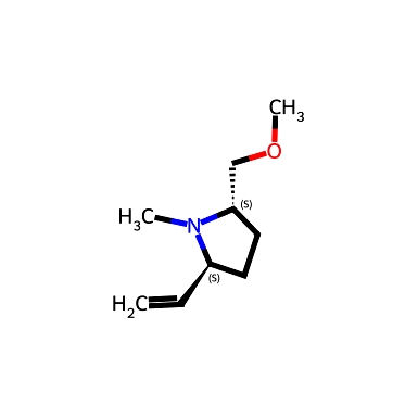 C=C[C@@H]1CC[C@@H](COC)N1C